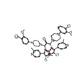 COc1cc(N2CCN(C(Cn3nc(-c4ccnc(C)c4)c(Cl)c3C)C(=O)C(Cn3nc(-c4ccnc(C)c4)c(Cl)c3C)N3CCN(c4ccc(Cl)c(OC)c4)CC3)CC2)ccc1Cl